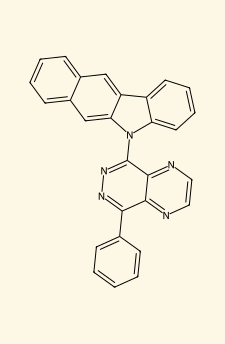 c1ccc(-c2nnc(-n3c4ccccc4c4cc5ccccc5cc43)c3nccnc23)cc1